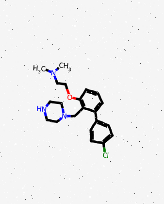 CN(C)CCOc1cccc(-c2ccc(Cl)cc2)c1CN1CCNCC1